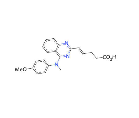 COc1ccc(N(C)c2nc(C=CCCC(=O)O)nc3ccccc23)cc1